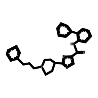 O=C(Nc1ccccc1-c1ccccc1)c1csc(C2CCN(CCCc3ccccc3)CC2)n1